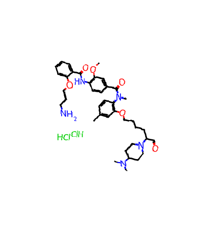 COc1cc(C(=O)N(C)c2ccc(C)cc2OCCCCC(C=O)N2CCC(N(C)C)CC2)ccc1NC(=O)c1ccccc1OCCCN.Cl.Cl